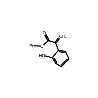 C=C(C(=O)OC(C)C)c1ccccc1O